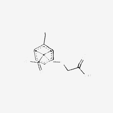 Cc1c2cccc1C2(OOCC(=O)O)C(=O)O